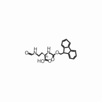 O=CNCC[C@@H](NC(=O)OCC1c2ccccc2-c2ccccc21)C(=O)O